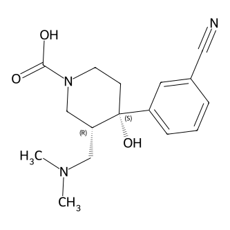 CN(C)C[C@@H]1CN(C(=O)O)CC[C@@]1(O)c1cccc(C#N)c1